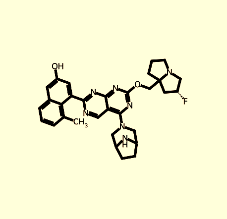 Cc1cccc2cc(O)cc(-c3ncc4c(N5CC6CCC(C5)N6)nc(OCC56CCCN5C[C@H](F)C6)nc4n3)c12